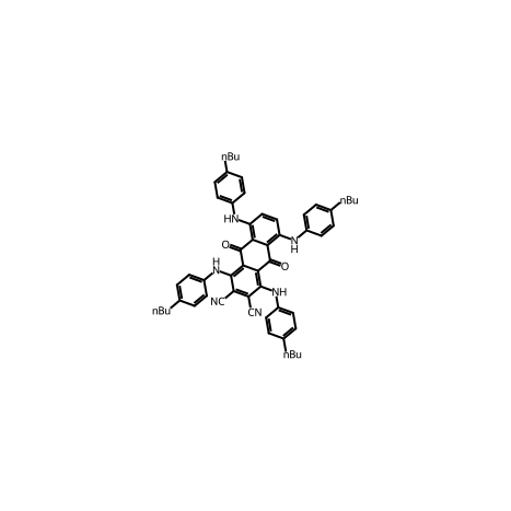 CCCCc1ccc(Nc2ccc(Nc3ccc(CCCC)cc3)c3c2C(=O)c2c(Nc4ccc(CCCC)cc4)c(C#N)c(C#N)c(Nc4ccc(CCCC)cc4)c2C3=O)cc1